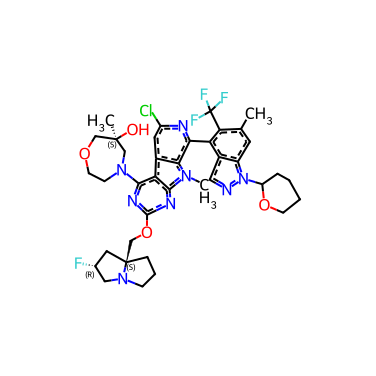 Cc1cc2c(cnn2C2CCCCO2)c(-c2nc(Cl)cc3c4c(N5CCOC[C@@](C)(O)C5)nc(OC[C@@]56CCCN5C[C@H](F)C6)nc4n(C)c23)c1C(F)(F)F